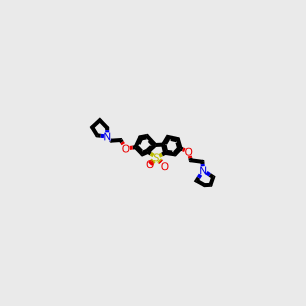 O=S1(=O)c2cc(OCCN3CCCC3)ccc2-c2ccc(OCCN3CCCC3)cc21